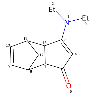 CCN(CC)C1=CC(=O)C2C3C=CC(C3)C12